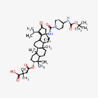 CC(C)C1=C2C3CCC4[C@@]5(C)CC[C@H](OC(=O)CC(C)(C)C(=O)O)C(C)(C)C5CC[C@@]4(C)[C@]3(C)CC[C@@]2(NC(=O)N2CCC(NC(=O)OC(C)(C)C)CC2)CC1=O